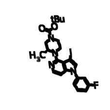 C[C@H]1CN(C(=O)OC(C)(C)C)CCN1c1nccc2c1c(I)cn2-c1cccc(F)c1